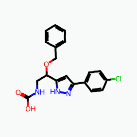 O=C(O)NCC(OCc1ccccc1)c1cc(-c2ccc(Cl)cc2)n[nH]1